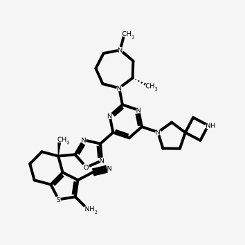 C[C@H]1CN(C)CCCN1c1nc(-c2noc([C@@]3(C)CCCc4sc(N)c(C#N)c43)n2)cc(N2CCC3(CNC3)C2)n1